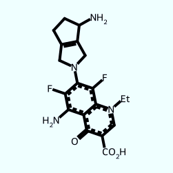 CCn1cc(C(=O)O)c(=O)c2c(N)c(F)c(N3CC4=C(C3)C(N)CC4)c(F)c21